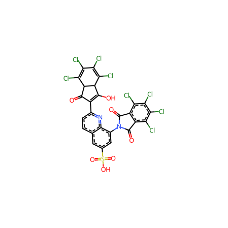 O=C1C(c2ccc3cc(S(=O)(=O)O)cc(N4C(=O)c5c(Cl)c(Cl)c(Cl)c(Cl)c5C4=O)c3n2)=C(O)C2C(Cl)=C(Cl)C(Cl)=C(Cl)C12